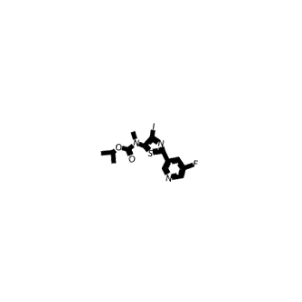 CC(C)OC(=O)N(C)c1sc(-c2cncc(F)c2)nc1I